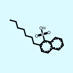 CCCCCCCc1ccc2ccccc2c1S(=O)(=O)O